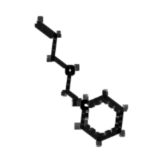 C=C[CH]OC[12c]1ccccc1